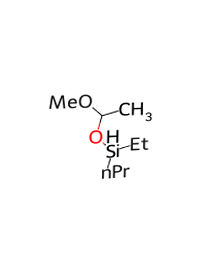 CCC[SiH](CC)OC(C)OC